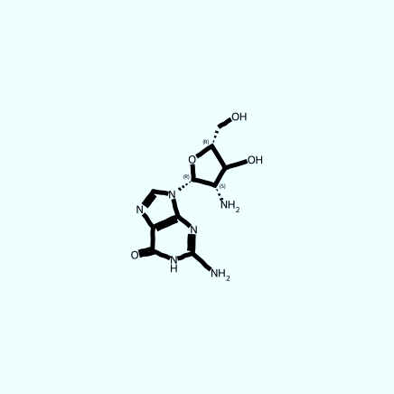 Nc1nc2c(ncn2[C@@H]2O[C@H](CO)C(O)[C@@H]2N)c(=O)[nH]1